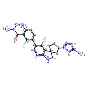 CN(C)C(=O)c1c(N)ccc(-c2cnc3c(c2Cl)C2(CCC(n4cnc(N)n4)C2)CN3)c1F